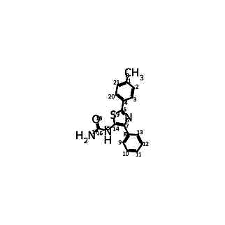 Cc1ccc(-c2nc(-c3ccccc3)c(NC(N)=O)s2)cc1